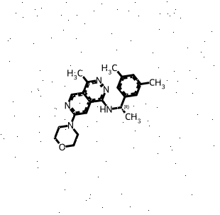 Cc1cc(C)cc([C@@H](C)Nc2nnc(C)c3cnc(N4CCOCC4)cc23)c1